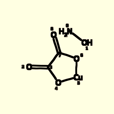 NO.O=C1[O][Cu][O]C1=O